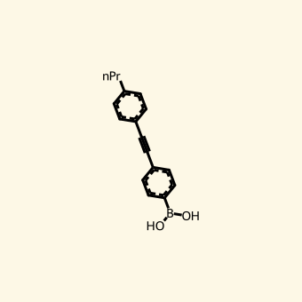 CCCc1ccc(C#Cc2ccc(B(O)O)cc2)cc1